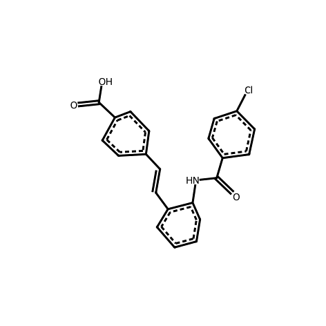 O=C(O)c1ccc(C=Cc2ccccc2NC(=O)c2ccc(Cl)cc2)cc1